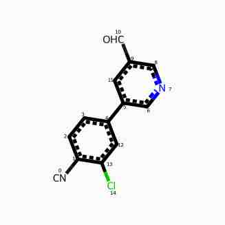 [C-]#[N+]c1ccc(-c2cncc(C=O)c2)cc1Cl